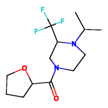 CC(C)N1CCN(C(=O)C2CCCO2)CC1C(F)(F)F